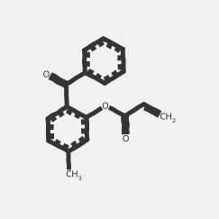 C=CC(=O)Oc1cc(C)ccc1C(=O)c1ccccc1